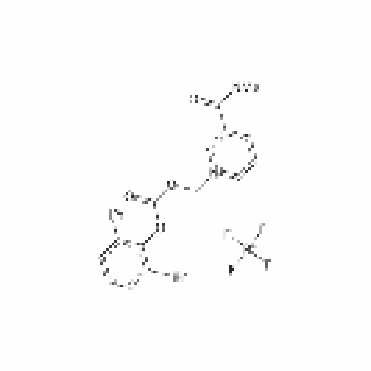 CNC(=O)c1ccc[n+](COC(=O)Oc2c(C(C)C)cccc2C(C)C)c1.F[B-](F)(F)F